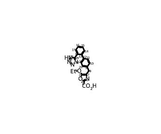 CCOc1oc(C(=O)O)nc1Cc1ccc(-c2ccccc2-c2nnn[nH]2)cc1